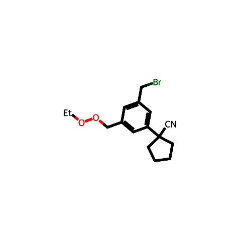 CCOOCc1cc(CBr)cc(C2(C#N)CCCC2)c1